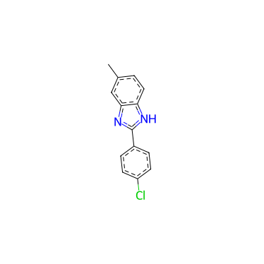 Cc1ccc2[nH]c(-c3ccc(Cl)cc3)nc2c1